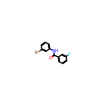 O=C(Nc1cccc(Br)c1)c1cccc(F)c1